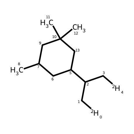 [2H]CC(C[2H])C1CC(C)CC(C)(C)C1